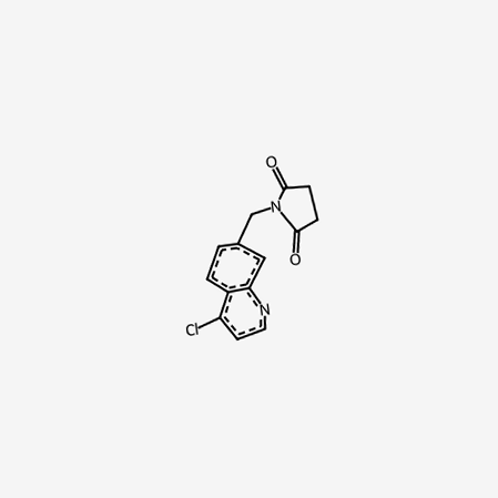 O=C1CCC(=O)N1Cc1ccc2c(Cl)ccnc2c1